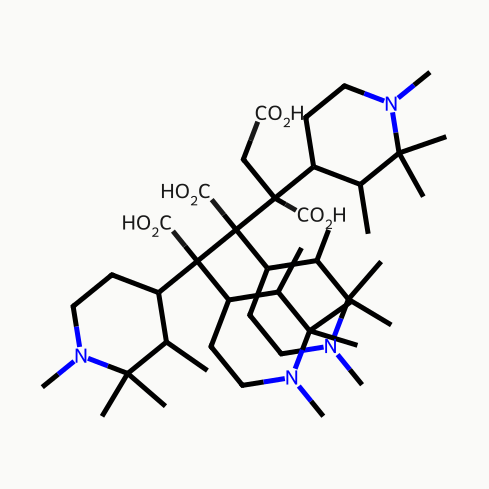 CC1C(C(CC(=O)O)(C(=O)O)C(C(=O)O)(C2CCN(C)C(C)(C)C2C)C(C(=O)O)(C2CCN(C)C(C)(C)C2C)C2CCN(C)C(C)(C)C2C)CCN(C)C1(C)C